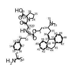 CC(N)=S.CCOC(=O)[C@H](CCc1ccccc1)N[C@@H](C)C(=O)N1CCC[C@H]1C(=O)O.CN(C)CCC=C1c2ccccc2CCc2ccccc21